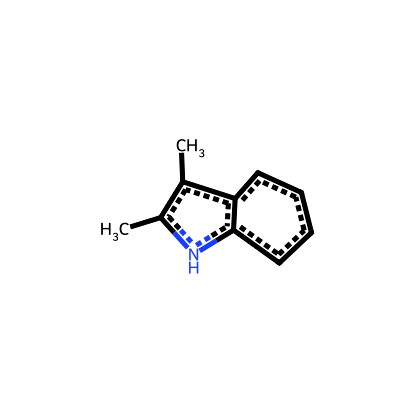 Cc1[nH]c2ccccc2c1C